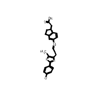 Cc1sc(-c2ccc(Cl)cc2)nc1CCOc1ccc2c(c1)CCC2CC(=O)O